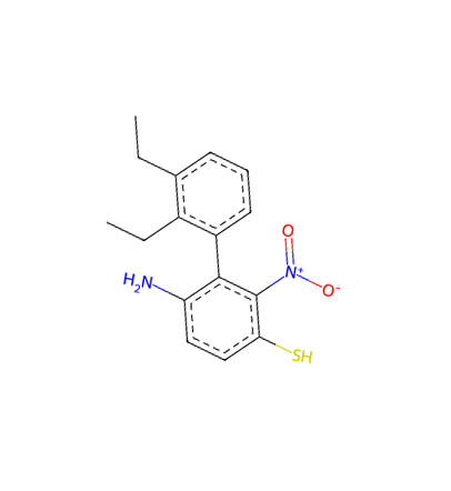 CCc1cccc(-c2c(N)ccc(S)c2[N+](=O)[O-])c1CC